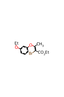 CCOC(=O)C(Br)=C(C)Oc1cccc(OCC)c1